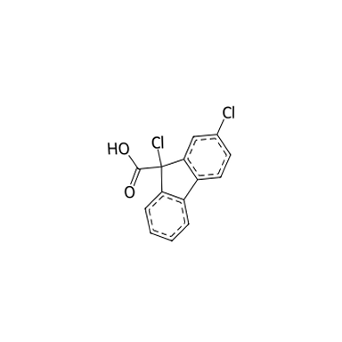 O=C(O)C1(Cl)c2ccccc2-c2ccc(Cl)cc21